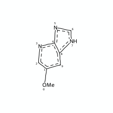 COc1cnc2nc[nH]c2c1